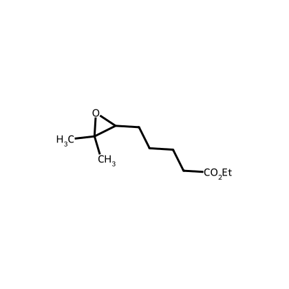 CCOC(=O)CCCCC1OC1(C)C